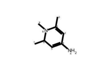 CC1=CC(N)=CC(C)N1C